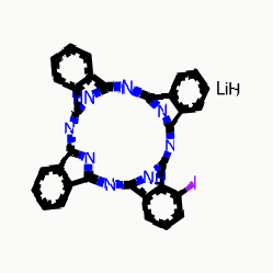 Ic1cccc2c3nc4nc(nc5[nH]c(nc6nc(nc([nH]3)c12)-c1ccccc1-6)c1ccccc51)-c1ccccc1-4.[LiH]